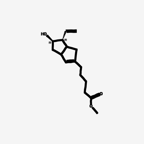 C=C[C@@H]1C2CC(CCCCC(=O)OC)=CC2C[C@H]1O